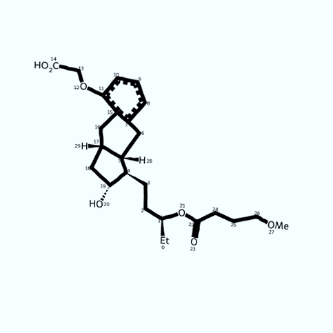 CC[C@@H](CC[C@@H]1[C@H]2Cc3cccc(OCC(=O)O)c3C[C@H]2C[C@H]1O)OC(=O)CCCOC